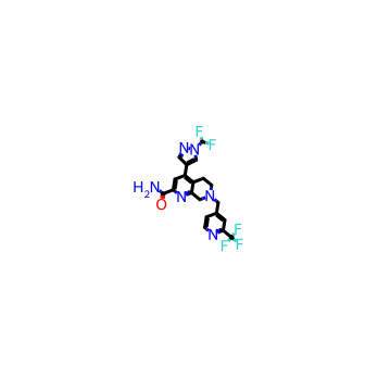 NC(=O)c1cc(-c2cnn(C(F)F)c2)c2c(n1)CN(Cc1ccnc(C(F)(F)F)c1)CC2